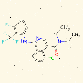 CCN(CC)C(=O)c1cnc(Nc2cccc(F)c2C(F)(F)F)c2cccc(Cl)c12